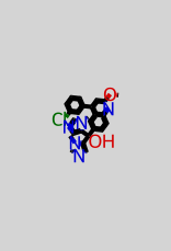 COc1cc(-c2cccc(Cl)c2)c2cc(C(O)(c3cncn3C)c3cncn3C)ccc2n1